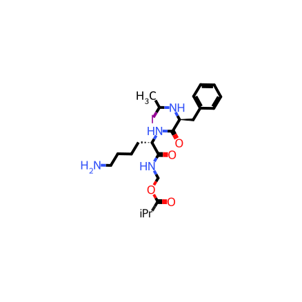 CC(I)N[C@@H](Cc1ccccc1)C(=O)N[C@@H](CCCCN)C(=O)NCOC(=O)C(C)C